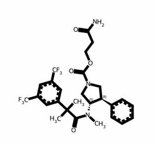 CN(C(=O)C(C)(C)c1cc(C(F)(F)F)cc(C(F)(F)F)c1)[C@@H]1CN(C(=O)OCCC(N)=O)C[C@H]1c1ccccc1